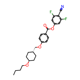 CCCCO[C@H]1CC[C@H](COc2ccc(C(=O)Oc3cc(F)c(C#N)c(F)c3)cc2)CC1